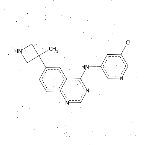 CC1(c2ccc3ncnc(Nc4cncc(Cl)c4)c3c2)CNC1